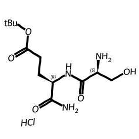 CC(C)(C)OC(=O)CC[C@@H](NC(=O)[C@@H](N)CO)C(N)=O.Cl